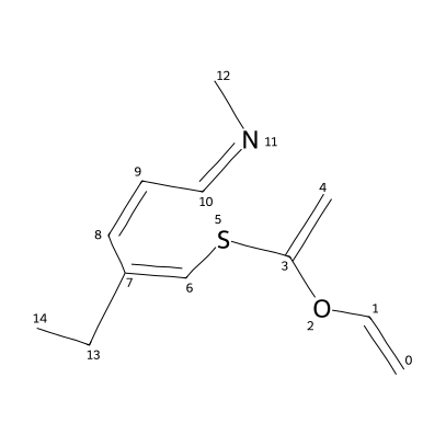 C=COC(=C)S\C=C(/C=C\C=N/C)CC